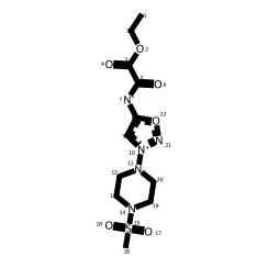 CCOC(=O)C(=O)[N-]c1c[n+](N2CCN(S(C)(=O)=O)CC2)no1